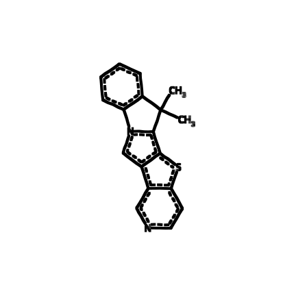 CC1(C)c2ccccc2-n2cc3c(sc4ccncc43)c21